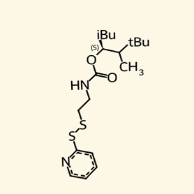 CCC(C)[C@H](OC(=O)NCCSSc1ccccn1)C(C)C(C)(C)C